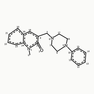 Cn1c(=O)c(CN2CCN(c3ccccc3)CC2)cc2ccccc21